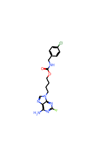 Nc1nc(F)nc2c1ncn2CCCCOC(=O)NCc1ccc(Cl)cc1